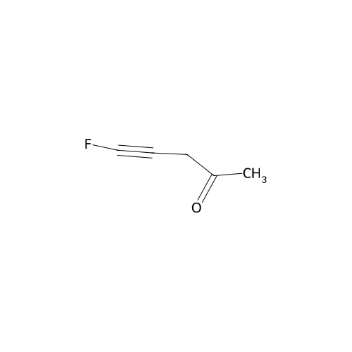 CC(=O)CC#CF